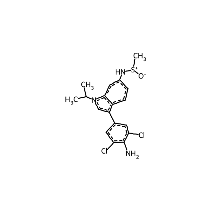 CC(C)n1cc(-c2cc(Cl)c(N)c(Cl)c2)c2ccc(N[S+](C)[O-])cc21